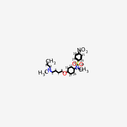 C=CCN(C)CCCCOC1CCC(N(C)S(=O)(=O)c2ccc([N+](=O)[O-])cc2)CC1